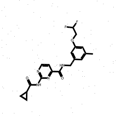 Cc1cc(CNC(=O)c2ccnc(NC(=O)C3CC3)n2)cc(OCC(F)F)c1